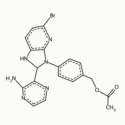 CC(=O)OCc1ccc(N2c3nc(Br)ccc3NC2c2nccnc2N)cc1